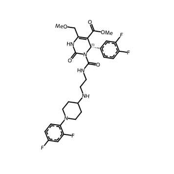 COCC1=C(C(=O)OC)[C@H](c2ccc(F)c(F)c2)N(C(=O)NCCNC2CCN(c3ccc(F)cc3F)CC2)C(=O)N1